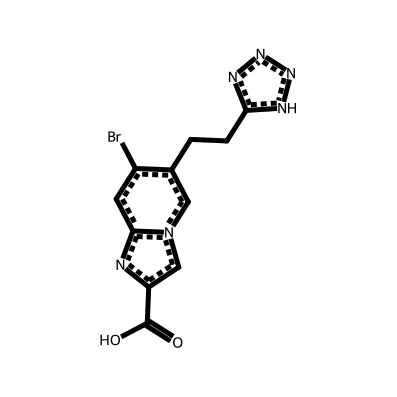 O=C(O)c1cn2cc(CCc3nnn[nH]3)c(Br)cc2n1